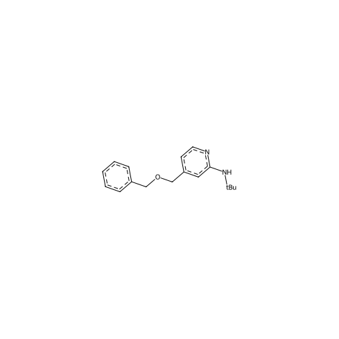 CC(C)(C)Nc1cc(COCc2ccccc2)ccn1